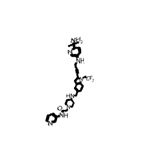 CC(C)(N)c1ccc(NCC#Cc2cc3cc(CNC4CCN(CC(=O)Nc5cccnc5)CC4)ccc3n2CC(F)(F)F)cn1